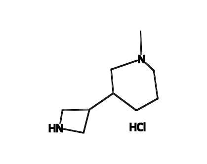 CN1CCCC(C2CNC2)C1.Cl